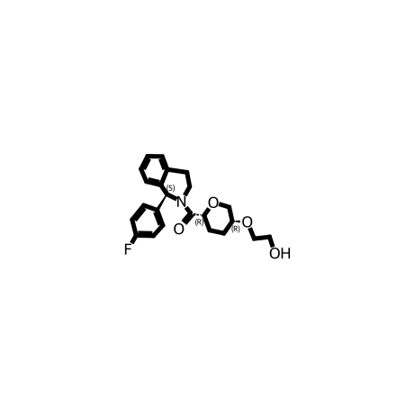 O=C([C@H]1CC[C@@H](OCCO)CO1)N1CCc2ccccc2[C@@H]1c1ccc(F)cc1